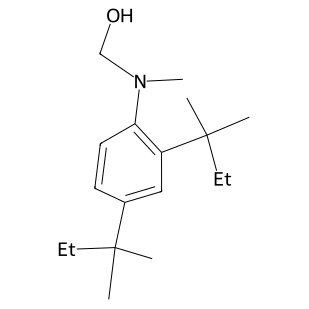 CCC(C)(C)c1ccc(N(C)CO)c(C(C)(C)CC)c1